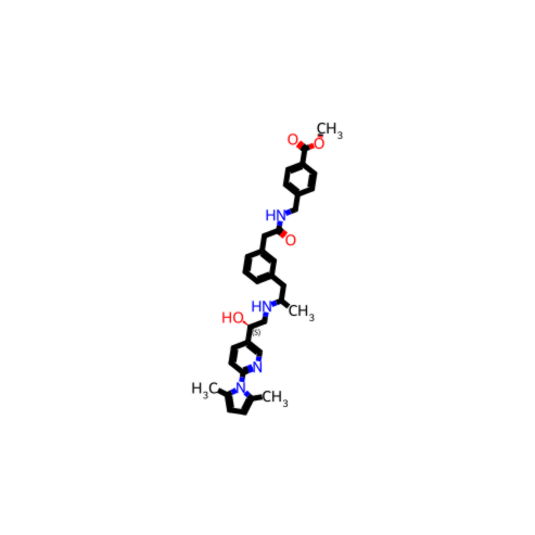 COC(=O)c1ccc(CNC(=O)Cc2cccc(CC(C)NC[C@@H](O)c3ccc(-n4c(C)ccc4C)nc3)c2)cc1